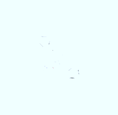 NC(=O)C12CC3CC(c4ccccc4)(CC1C3Sc1ccccc1)C2